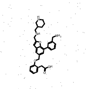 NCc1cccc(-c2cc(COc3ccccc3CC(=O)O)cc3cc(CNCC4CCCNC4)oc23)c1